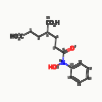 O=C(O)CCC(CCC(=O)N(O)c1ccccc1)C(=O)O